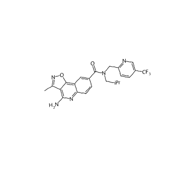 Cc1noc2c1c(N)nc1ccc(C(=O)N(Cc3ccc(C(F)(F)F)cn3)CC(C)C)cc12